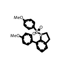 COc1ccc(-c2cccc3c2N(S(=O)(=O)c2ccc(OC)cc2)CC3)cc1